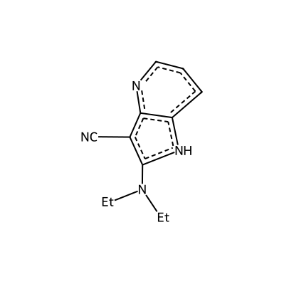 CCN(CC)c1[nH]c2cccnc2c1C#N